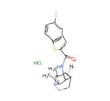 CC1(C)[C@@H](NC(=O)c2cc3cc(F)ccc3s2)C2CCN1CC2.Cl